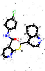 O=C(Nc1ccc(Cl)cc1)c1cccnc1SCc1ccnc2ccccc12